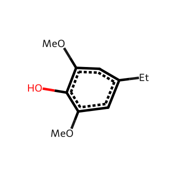 CCc1cc(OC)c(O)c(OC)c1